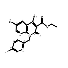 CCOC(=O)c1c(O)c2cc(Br)cnc2n(Cc2ccc(F)cn2)c1=O